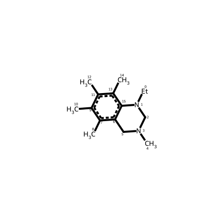 CCN1CN(C)Cc2c(C)c(C)c(C)c(C)c21